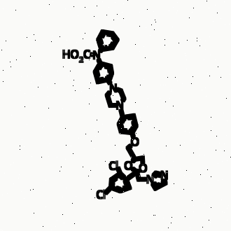 O=C(O)N(c1ccccc1)c1ccc(N2CCN(c3ccc(OCC4COC(Cn5ccnc5)(c5ccc(Cl)cc5Cl)O4)cc3)CC2)cc1